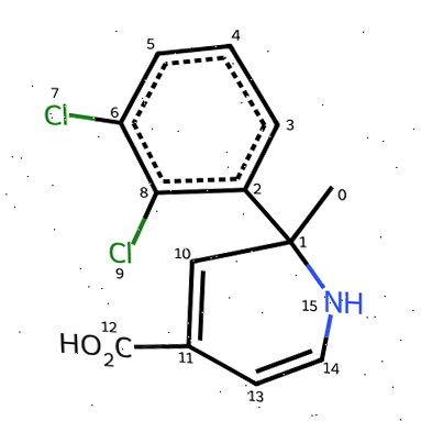 CC1(c2cccc(Cl)c2Cl)C=C(C(=O)O)C=CN1